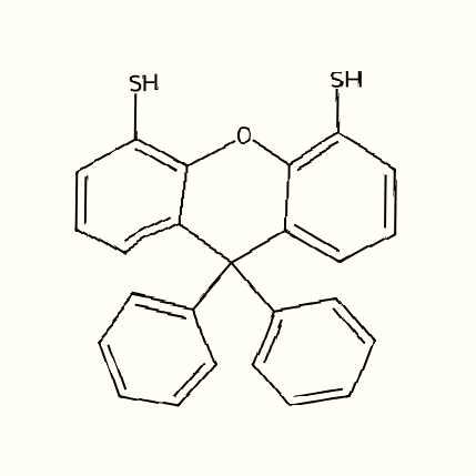 Sc1cccc2c1Oc1c(S)cccc1C2(c1ccccc1)c1ccccc1